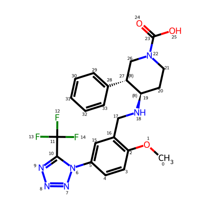 COc1ccc(-n2nnnc2C(F)(F)F)cc1CN[C@@H]1CCN(C(=O)O)C[C@H]1c1ccccc1